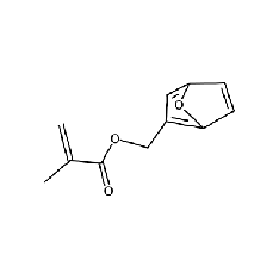 C=C(C)C(=O)OCc1cc2ccc1o2